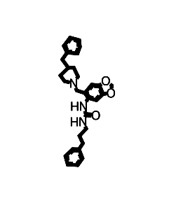 O=C(NCCCc1ccccc1)Nc1cc2c(cc1CN1CCC(Cc3ccccc3)CC1)OCO2